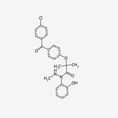 CNN(C(=O)C(C)(C)Oc1ccc(C(=O)c2ccc(Cl)cc2)cc1)c1ccccc1O